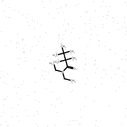 CCN(CC)C(=O)C(C)(C)C(C)(C)C